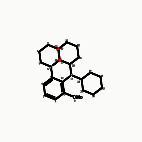 COc1cccc(N2CCCCC2)c1P(C1CCCCC1)C1CCCCC1